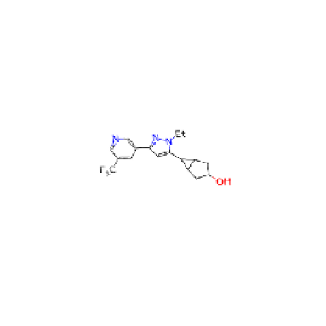 CCn1nc(-c2cncc(C(F)(F)F)c2)cc1C1C2CC(O)CC21